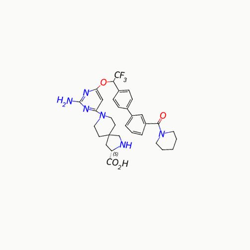 Nc1nc(OC(c2ccc(-c3cccc(C(=O)N4CCCCC4)c3)cc2)C(F)(F)F)cc(N2CCC3(CC2)CN[C@H](C(=O)O)C3)n1